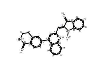 CC(=O)N1/C(=C\c2cc(-c3ccc4c(c3)CCNC4=O)c3ccccc3n2)C(=O)c2ccccc21